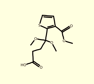 COC(=O)c1ccsc1C(CCC(=O)O)(OC)OC